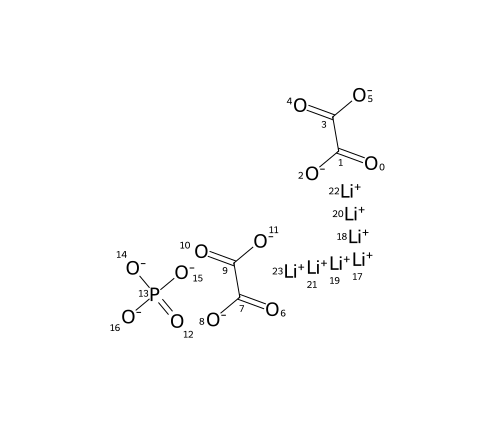 O=C([O-])C(=O)[O-].O=C([O-])C(=O)[O-].O=P([O-])([O-])[O-].[Li+].[Li+].[Li+].[Li+].[Li+].[Li+].[Li+]